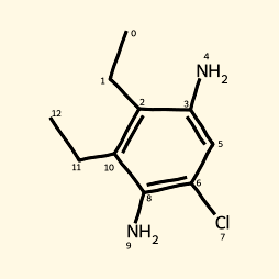 CCc1c(N)cc(Cl)c(N)c1CC